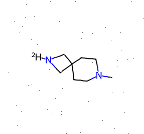 [2H]N1CC2(CCN(C)CC2)C1